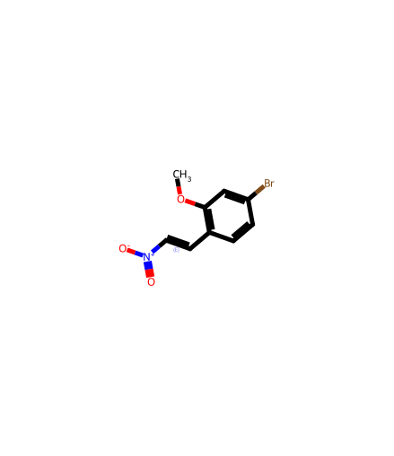 COc1cc(Br)ccc1/C=C/[N+](=O)[O-]